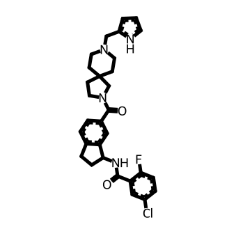 O=C(NC1CCc2ccc(C(=O)N3CCC4(CCN(Cc5ccc[nH]5)CC4)C3)cc21)c1cc(Cl)ccc1F